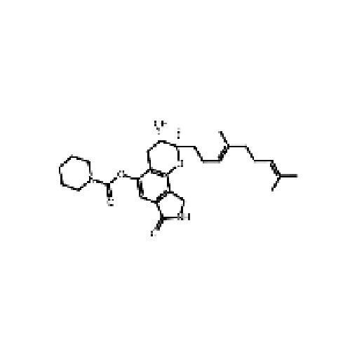 CC(C)=CCC/C(C)=C/CC[C@@]1(C)Oc2c(c(OC(=O)N3CCCCC3)cc3c2CNC3=O)C[C@@H]1O